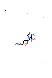 CC(=O)OCC1CCC(c2nc(Br)c3c(Cl)nccn23)CO1